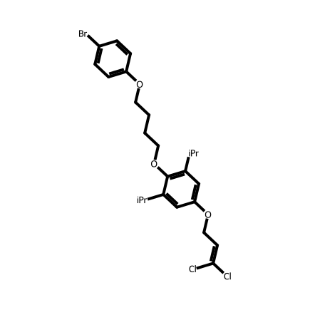 CC(C)c1cc(OCC=C(Cl)Cl)cc(C(C)C)c1OCCCCOc1ccc(Br)cc1